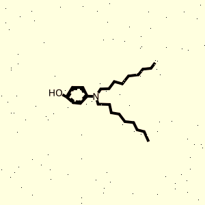 CCCCCCCCCN(CCCCCCCCC)c1ccc(O)cc1